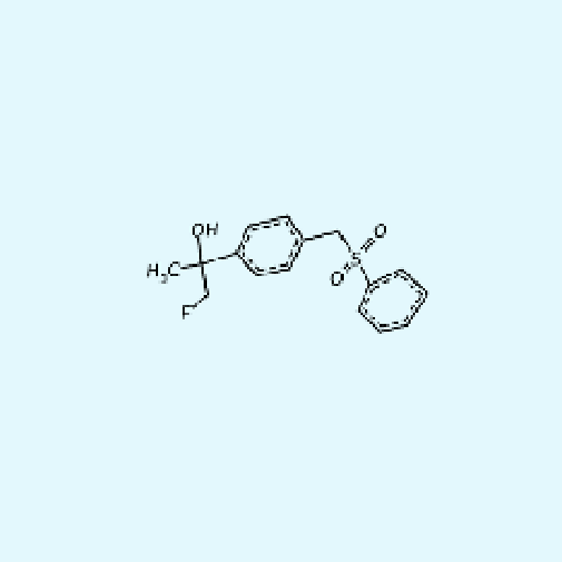 CC(O)(CF)c1ccc(CS(=O)(=O)c2ccccc2)cc1